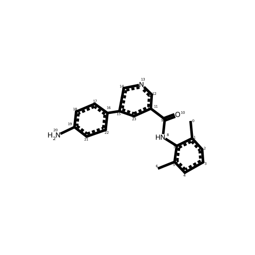 Cc1cccc(C)c1NC(=O)c1cncc(-c2ccc(N)cc2)c1